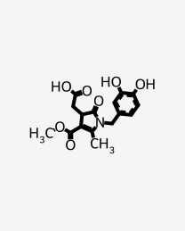 COC(=O)C1=C(C)N(Cc2ccc(O)c(O)c2)C(=O)C1CC(=O)O